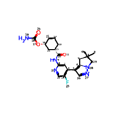 CC1(C)Cc2c(-c3cc(NC(=O)[C@H]4CCC[C@@H](OC(N)=O)C4)ncc3F)cnn2C1